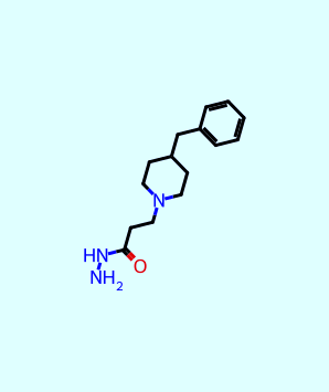 NNC(=O)CCN1CCC(Cc2ccccc2)CC1